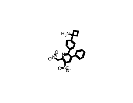 NC1(c2ccc(-c3nc(C[N+](=O)[O-])c([N+](=O)[O-])cc3-c3ccccc3)cc2)CCC1